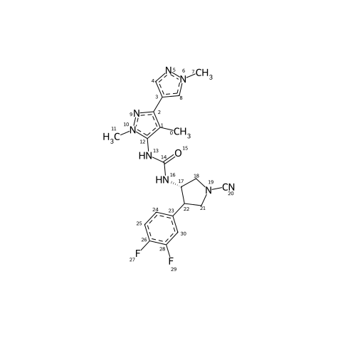 Cc1c(-c2cnn(C)c2)nn(C)c1NC(=O)N[C@@H]1CN(C#N)CC1c1ccc(F)c(F)c1